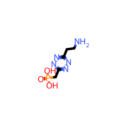 NCCc1nnc(CP(=O)(O)O)nn1